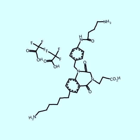 NCCCCCCc1ccc2c(c1)C(=O)N(CCC(=O)O)CC(=O)N2Cc1ccc(NC(=O)CCCN)cc1.O=C(O)C(F)(F)F.O=C(O)C(F)(F)F